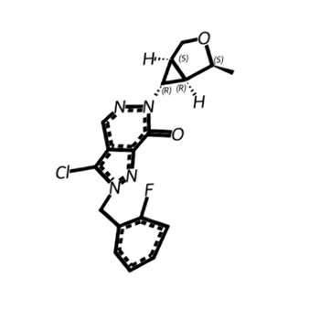 C[C@@H]1OC[C@H]2[C@@H]1[C@@H]2n1ncc2c(Cl)n(Cc3ccccc3F)nc2c1=O